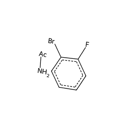 CC(N)=O.Fc1ccccc1Br